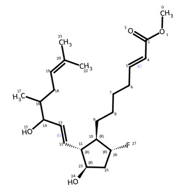 COC(=O)/C=C/CCCC[C@@H]1[C@@H](/C=C/C(O)C(C)CC=C(C)C)[C@H](O)C[C@H]1F